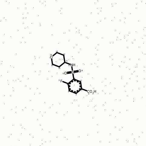 O=C(O)c1ccc(F)c(S(=O)(=O)NC2CCOCC2)c1